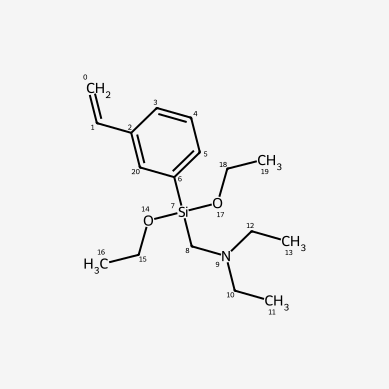 C=Cc1cccc([Si](CN(CC)CC)(OCC)OCC)c1